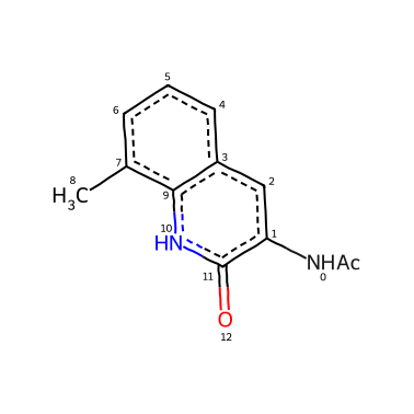 CC(=O)Nc1cc2cccc(C)c2[nH]c1=O